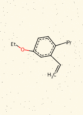 C=[C]c1cc(OCC)ccc1C(C)C